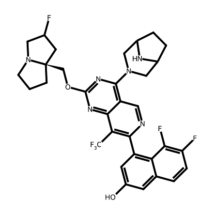 Oc1cc(-c2ncc3c(N4CC5CCC(C4)N5)nc(OC[C@@]45CCCN4CC(F)C5)nc3c2C(F)(F)F)c2c(F)c(F)ccc2c1